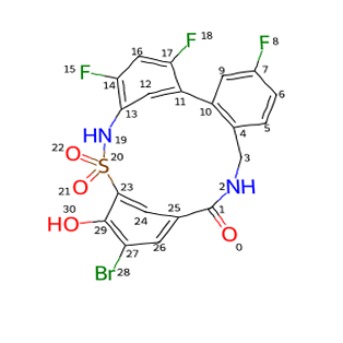 O=C1NCc2ccc(F)cc2-c2cc(c(F)cc2F)NS(=O)(=O)c2cc1cc(Br)c2O